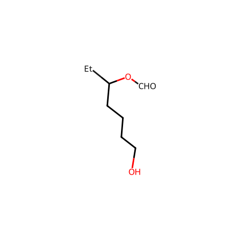 [CH2]CC(CCCCO)OC=O